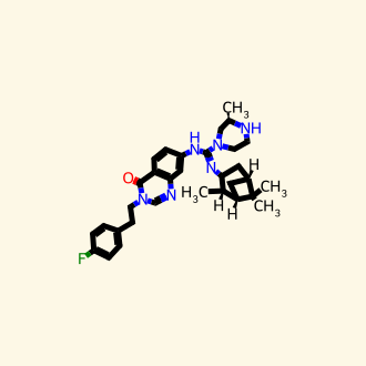 C[C@@H]1C(N=C(Nc2ccc3c(=O)n(CCc4ccc(F)cc4)cnc3c2)N2CCN[C@@H](C)C2)C[C@H]2C[C@@H]1C2(C)C